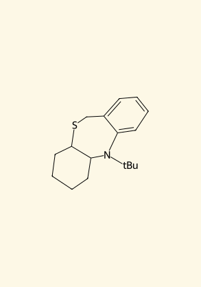 CC(C)(C)N1c2ccccc2CSC2CCCCC21